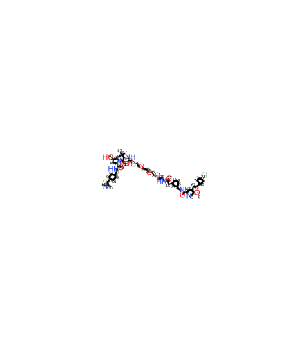 COc1cnc(C(=O)NCc2cccc(CC(=O)NCCOCCOCCOCCOCC(=O)N[C@H](C(=O)N3C[C@H](O)C[C@H]3C(=O)NCc3ccc(-c4scnc4C)cc3)C(C)(C)C)c2)cc1/C=C/c1ccc(Cl)cc1